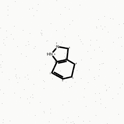 C1=CC2=C(CC1)C[N]N2